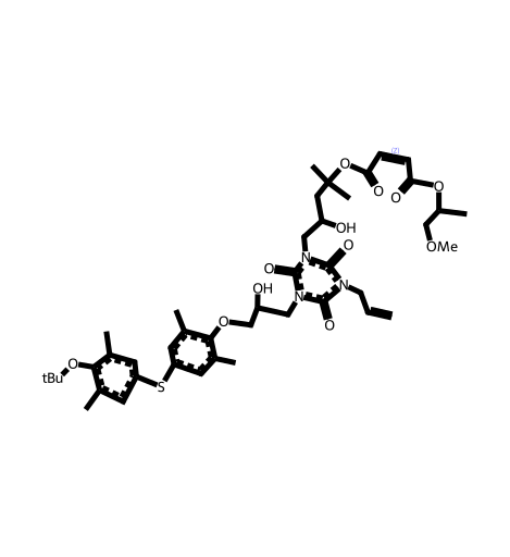 C=CCn1c(=O)n(CC(O)COc2c(C)cc(Sc3cc(C)c(OC(C)(C)C)c(C)c3)cc2C)c(=O)n(CC(O)CC(C)(C)OC(=O)/C=C\C(=O)OC(C)COC)c1=O